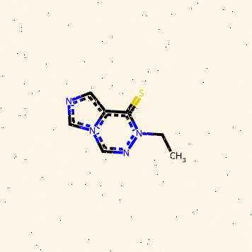 CCn1ncn2cncc2c1=S